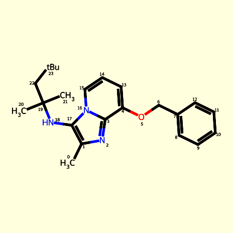 Cc1nc2c(OCc3ccccc3)cccn2c1NC(C)(C)CC(C)(C)C